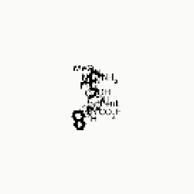 CCCCC[C@H](NP(=O)(OC[C@H]1O[C@@H](n2c(I)nc3c(OC)nc(N)nc32)[C@](C)(O)[C@@H]1O)Oc1cccc2ccccc12)C(=O)O